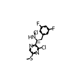 CSc1cnc([C@H](Cc2cc(F)cc(F)c2)NCl)c(Cl)n1